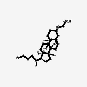 CC(C)CCC[C@@H](C)[C@H]1CC[C@H]2[C@@H]3CC=C4C[C@@H](NCC(=O)O)CC[C@]4(C)[C@H]3CC[C@]12C